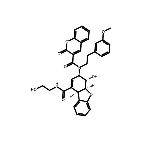 COc1cccc(CCN(C(=O)c2cc3ccccc3oc2=O)[C@@H]2C=C(C(=O)NCCO)[C@@H]3c4ccccc4O[C@@H]3[C@H]2O)c1